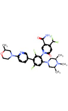 CC1CN(c2ccc(-c3c(F)cc(N4C[C@@H](C)N(C)[C@@H](C)C4)c(-n4cc(C(N)=O)c(C(F)F)cc4=O)c3F)cn2)CCO1